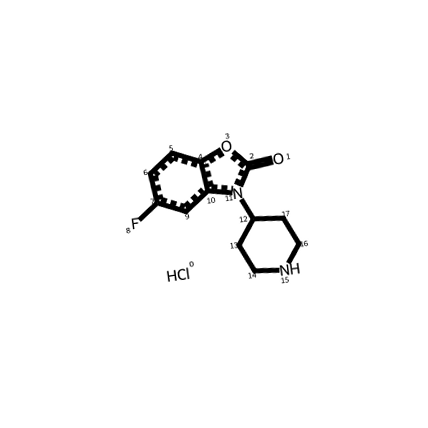 Cl.O=c1oc2ccc(F)cc2n1C1CCNCC1